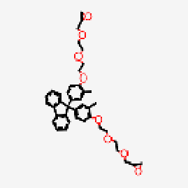 Cc1cc(C2(c3ccc(OCCOCCOCC4CO4)c(C)c3)c3ccccc3-c3ccccc32)ccc1OCCOCCOCC1CO1